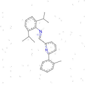 Cc1ccccc1-c1cccc(/C=N/c2c(C(C)C)cccc2C(C)C)n1